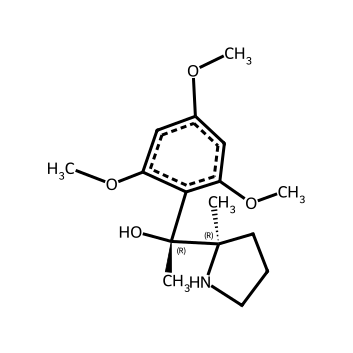 COc1cc(OC)c([C@@](C)(O)[C@@]2(C)CCCN2)c(OC)c1